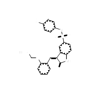 O=C(O)COc1ccccc1C=C1C(=O)Nc2ccc(S(=O)(=O)Nc3ccc(C(F)(F)F)cc3)cc21